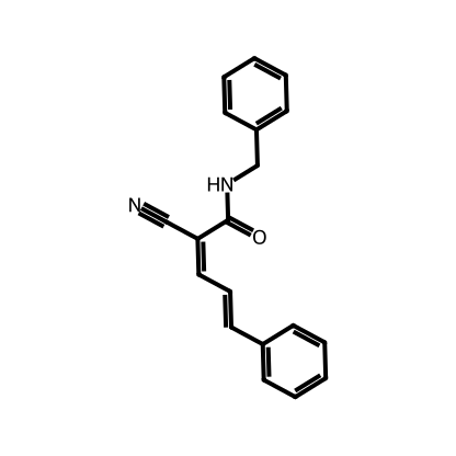 N#CC(=CC=Cc1ccccc1)C(=O)NCc1ccccc1